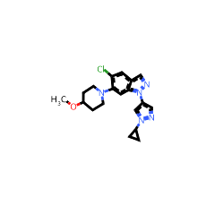 COC1CCN(c2cc3c(cnn3-c3cnn(C4CC4)c3)cc2Cl)CC1